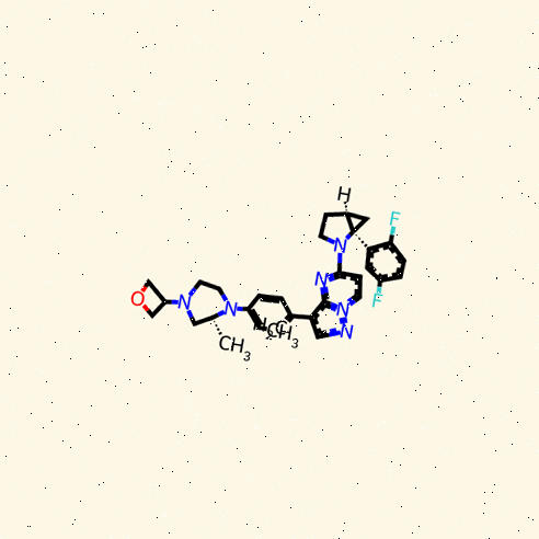 C=C(/C=C\C(=C/C)N1CCN(C2COC2)C[C@H]1C)c1cnn2ccc(N3CC[C@H]4C[C@]43c3cc(F)ccc3F)nc12